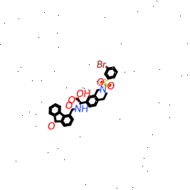 O=C(NC(C(=O)O)c1ccc2c(c1)CN(S(=O)(=O)c1cccc(Br)c1)CC2)c1cccc2c1-c1ccccc1C2=O